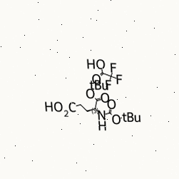 CC(C)(C)OC(=O)N[C@@H](CCC(=O)O)C(=O)OC(C)(C)C.O=C(O)C(F)(F)F